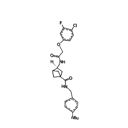 CCCCc1ccc(CNC(=O)C23CC(C2)[C@@H](NC(=O)COc2ccc(Cl)c(F)c2)C3)cc1